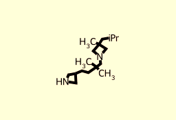 CC(C)CC1(C)CN(CC(C)(C)CCC2CNC2)C1